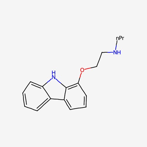 CCCNCCOc1cccc2c1[nH]c1ccccc12